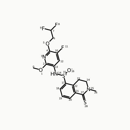 COc1nc(OCC(F)F)c(F)cc1N[S+]([O-])c1cccc2c1CCN(C)C2=S